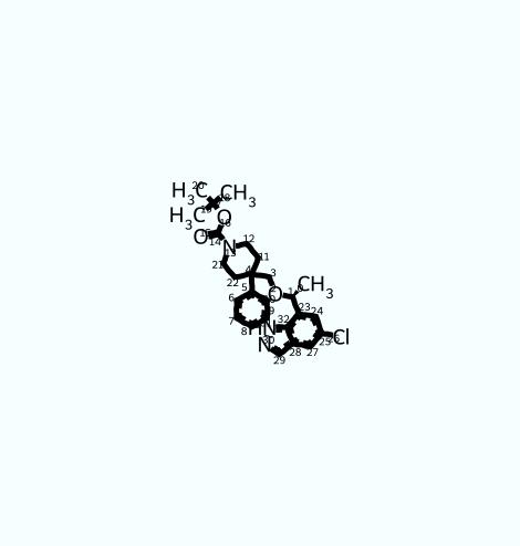 C[C@H](OCC1(c2ccccc2)CCN(C(=O)OC(C)(C)C)CC1)c1cc(Cl)cc2cn[nH]c12